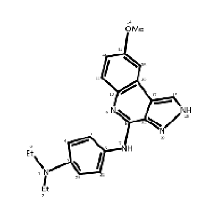 CCN(CC)c1ccc(Nc2nc3ccc(OC)cc3c3c[nH]nc23)cc1